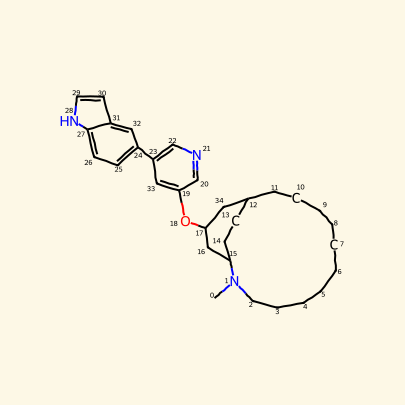 CN1CCCCCCCCCCC2CCC1CC(Oc1cncc(-c3ccc4[nH]ccc4c3)c1)C2